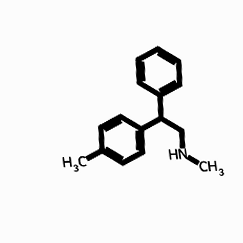 CNCC(c1ccccc1)c1ccc(C)cc1